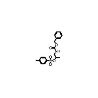 Cc1ccc(S(=O)(=O)OC(C)CNC(=O)OCc2ccccc2)cc1